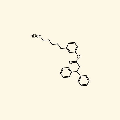 CCCCCCCCCCCCCCCc1cccc(OC(=O)CC(c2ccccc2)c2ccccc2)c1